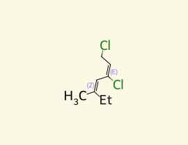 CC/C(C)=C\C(Cl)=C/CCl